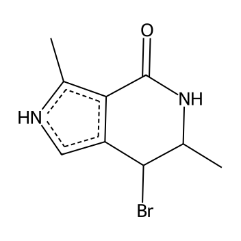 Cc1[nH]cc2c1C(=O)NC(C)C2Br